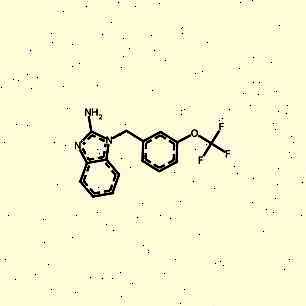 Nc1nc2ccccc2n1Cc1cccc(OC(F)(F)F)c1